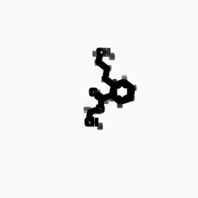 C[CH]CCc1ccccc1C(=O)OCC